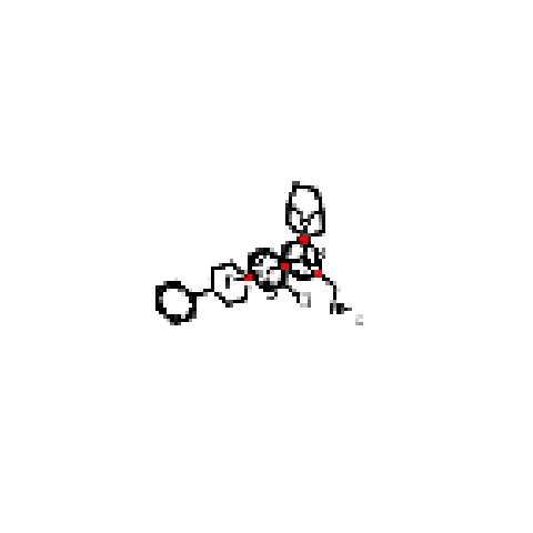 NCc1cc(S(=O)(=O)N2CCC(c3ccccc3)CC2)cc(N2C3CCC2CN(C(=O)c2ccc(F)cc2Cl)C3)n1